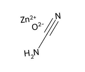 N#CN.[O-2].[Zn+2]